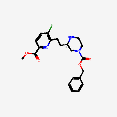 COC(=O)c1ccc(F)c(CC[C@@H]2CN(C(=O)OCc3ccccc3)CCN2)n1